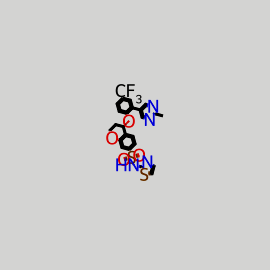 Cc1ncc(-c2cc(C(F)(F)F)ccc2O[C@@H]2CCOc3cc(S(=O)(=O)Nc4nccs4)ccc32)cn1